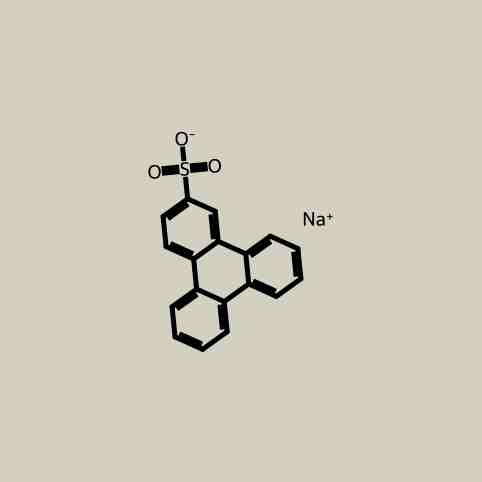 O=S(=O)([O-])c1ccc2c3ccccc3c3ccccc3c2c1.[Na+]